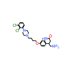 NCC1CC(=O)Nc2cc(OCCCCN3CCN(c4cccc(Cl)c4Cl)CC3)ccc21